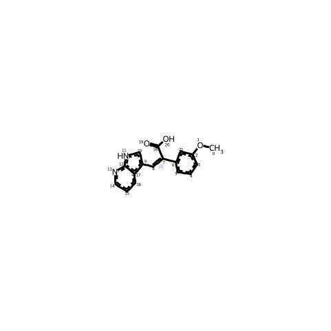 COc1cccc(/C(=C/c2c[nH]c3ncccc23)C(=O)O)c1